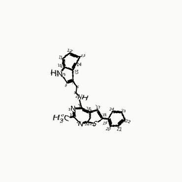 Cc1nc(NCCc2c[nH]c3ccccc23)c2cc(-c3ccccc3)sc2n1